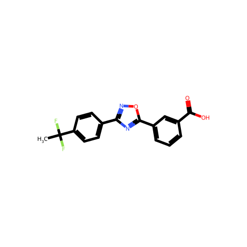 CC(F)(F)c1ccc(-c2noc(-c3cccc(C(=O)O)c3)n2)cc1